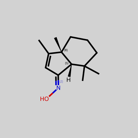 CC1=C/C(=N\O)[C@H]2C(C)(C)CCC[C@@]12C